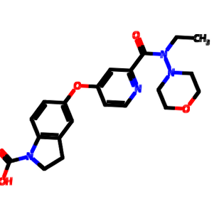 CCN(C(=O)c1cc(Oc2ccc3c(c2)CCN3C(=O)O)ccn1)N1CCOCC1